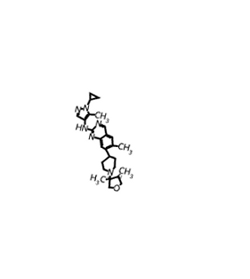 Cc1cc2cnc(Nc3cnn(C4CC4)c3C)nc2cc1C1CCN([C@@]2(C)COC[C@H]2C)CC1